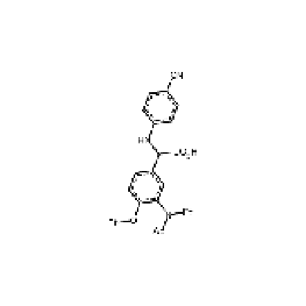 CCOc1ccc(C(Nc2ccc(C#N)cc2)C(=O)O)cc1N(CC)C(C)=O